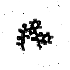 CC[C@@H](NC(=O)c1cc(C(=O)N(C)[C@@H](C)C(=O)OC(C)C)n2c1COCC2)c1ccccc1